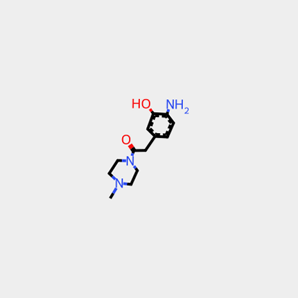 CN1CCN(C(=O)Cc2ccc(N)c(O)c2)CC1